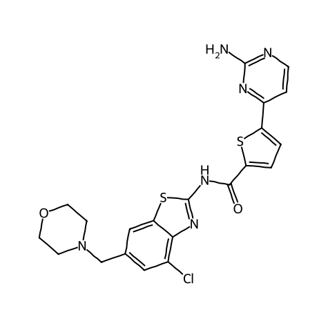 Nc1nccc(-c2ccc(C(=O)Nc3nc4c(Cl)cc(CN5CCOCC5)cc4s3)s2)n1